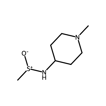 CN1CCC(N[S+](C)[O-])CC1